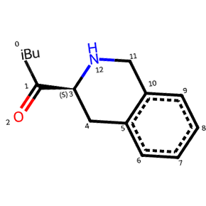 CCC(C)C(=O)[C@@H]1Cc2ccccc2CN1